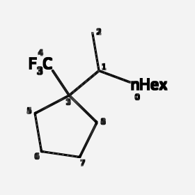 CCCCCCC(C)C1(C(F)(F)F)CCCC1